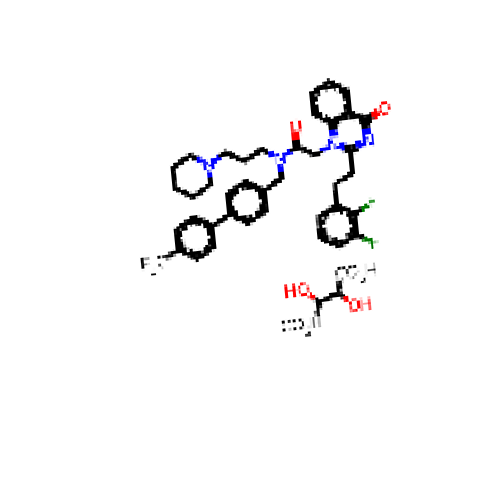 O=C(Cn1c(CCc2cccc(F)c2F)nc(=O)c2ccccc21)N(CCCN1CCCCC1)Cc1ccc(-c2ccc(C(F)(F)F)cc2)cc1.O=C(O)C(O)C(O)C(=O)O